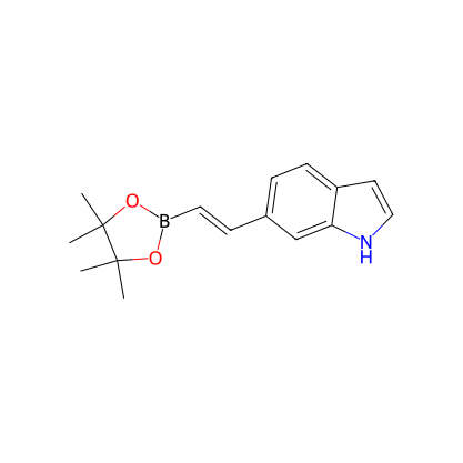 CC1(C)OB(/C=C/c2ccc3cc[nH]c3c2)OC1(C)C